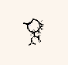 C/C1=C\CC[C@@]2(C)O[C@H]2[C@H]2OC(=O)[C@@H](CN(C)C)[C@@H]2CC1